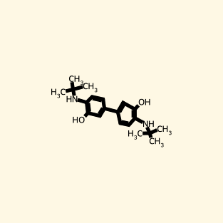 CC(C)(C)Nc1ccc(-c2ccc(NC(C)(C)C)c(O)c2)cc1O